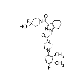 Cc1c(F)ccc(N2CCN(C(=O)Cn3nc(C(=O)N4CCC(F)(CO)CC4)c4c3CCCC4)CC2)c1C